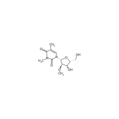 CO[C@@H]1[C@H](O)[C@@H](CO)O[C@H]1n1cc(C)c(=O)n(C)c1=O